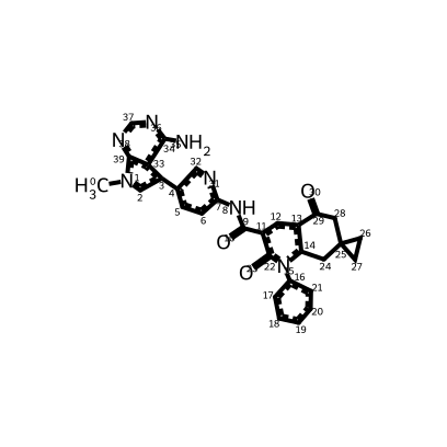 Cn1cc(-c2ccc(NC(=O)c3cc4c(n(-c5ccccc5)c3=O)CC3(CC3)CC4=O)nc2)c2c(N)ncnc21